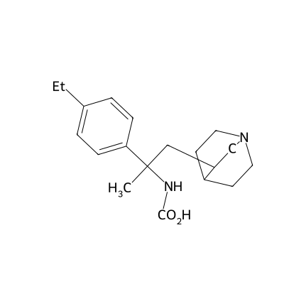 CCc1ccc(C(C)(CC2CN3CCC2CC3)NC(=O)O)cc1